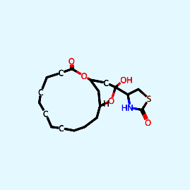 O=C1CCCCCCCCCC[C@@H]2CC(CC(O)(C3CSC(=O)N3)O2)O1